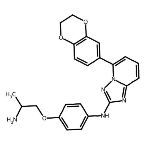 CC(N)COc1ccc(Nc2nc3cccc(-c4ccc5c(c4)OCCO5)n3n2)cc1